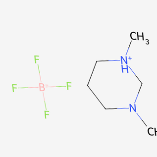 CN1CCC[NH+](C)C1.F[B-](F)(F)F